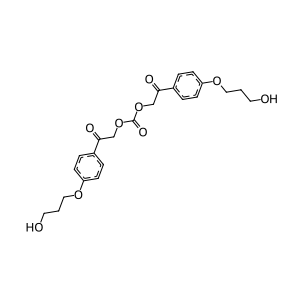 O=C(OCC(=O)c1ccc(OCCCO)cc1)OCC(=O)c1ccc(OCCCO)cc1